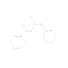 CC(=O)N(c1ccccc1)c1cccc(-c2ccccc2)c1